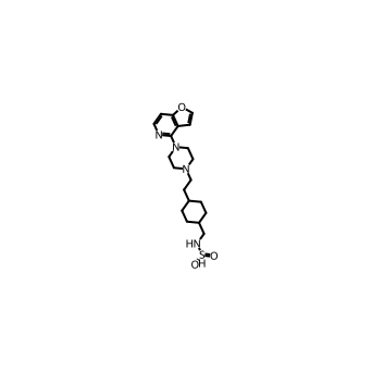 O=[SH](=O)NCC1CCC(CCN2CCN(c3nccc4occc34)CC2)CC1